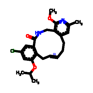 COc1nc(C)cc2c1CNC(=O)c1cc(Cl)cc(OC(C)C)c1C/C=C/CC2